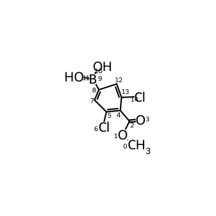 COC(=O)c1c(Cl)cc(B(O)O)cc1Cl